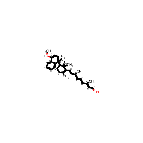 COC1=CCC(C)(C2CCC(C)=C(/C=C/C(C)=C/C=C/C(C)=C/CO)C2(C)C)c2ccccc21